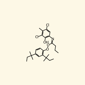 CCCC(=Nc1cc(Cl)c(C)c(Cl)c1O)OOc1ccc(C(C)(C)CC)cc1C(C)(C)CC